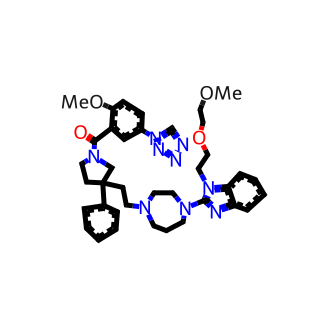 COCCOCCn1c(N2CCCN(CCC3(c4ccccc4)CCN(C(=O)c4cc(-n5cnnn5)ccc4OC)C3)CC2)nc2ccccc21